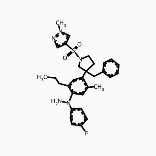 CCCc1cc(C2(Cc3ccccc3)CCN(S(=O)(=O)c3cnn(C)c3)C2)c(C)cc1N(N)c1ccc(F)cc1